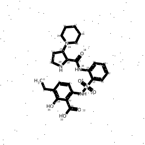 CCc1ccc(NS(=O)(=O)c2ccccc2NC(=O)C2NCCC2N2CCCCC2)c(C(=O)O)c1O